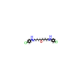 O=C(CCCCC=NNc1ccc(Cl)cc1)CCCCC=NNc1ccc(Cl)cc1